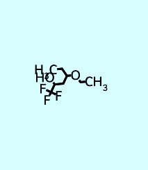 CCOC(CC)CC(O)C(F)(F)F